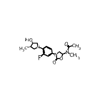 CC(=O)N(C)C1CN(c2ccc(N3C[C@@H](C)[C@@H](O)C3)c(F)c2)C(=O)O1